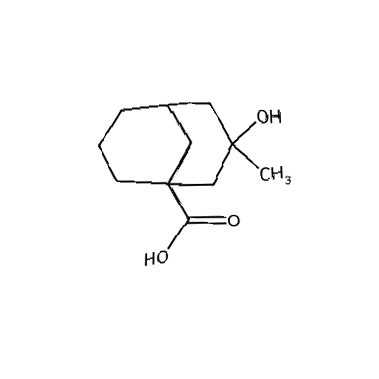 CC1(O)CC2CCCC(C(=O)O)(C2)C1